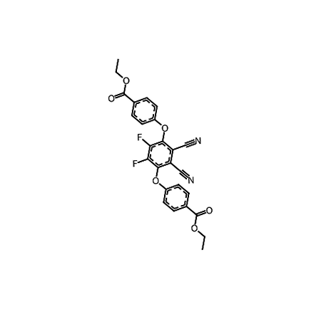 CCOC(=O)c1ccc(Oc2c(F)c(F)c(Oc3ccc(C(=O)OCC)cc3)c(C#N)c2C#N)cc1